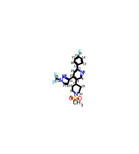 CS(=O)(=O)N1CCC(c2cnc(-c3ccc(F)cc3)cc2-c2ccn(C(F)F)n2)CC1